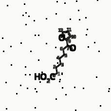 O=C(O)CCCCCCC(=O)c1ccco1